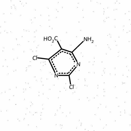 Nc1nc(Cl)nc(Cl)c1C(=O)O